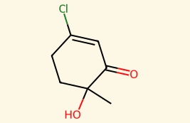 CC1(O)CCC(Cl)=CC1=O